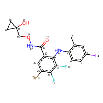 Cc1cc(I)ccc1Nc1c(C(=O)NOCC2(O)CC2)cc(Br)c(F)c1F